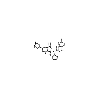 Cc1ccc([C@H](C)CN[C@H](c2ccccc2)[C@H]2CNc3cc(-c4cnn(C)c4)cnc3N2)cn1